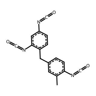 Cc1cc(Cc2ccc(N=C=O)cc2N=C=O)ccc1N=C=O